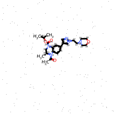 CC(=O)N1c2ccc(-c3cnn(CCN4CCOCC4)c3)cc2N(C(=O)OC(C)C)C[C@@H]1C